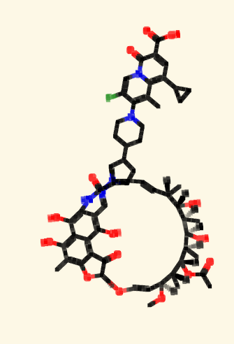 CO[C@H]1/C=C/O[C@@]2(C)Oc3c(C)c(O)c4c(O)c(c(/C=N/N5CCC(C6CCN(c7c(F)cn8c(=O)c(C(=O)O)cc(C9CC9)c8c7C)CC6)C5)c(O)c4c3C2=O)NC(=O)/C(C)=C\C=C\[C@H](C)[C@H](O)[C@@H](C)[C@@H](O)[C@@H](C)[C@H](OC(C)=O)[C@@H]1C